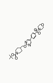 CC(C)(C)OC(=O)N1CCC(COc2ncc(-c3ccc(S(=O)(=O)N4CCOCC4)cc3)cn2)CC1